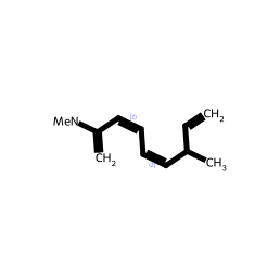 C=CC(C)/C=C\C=C/C(=C)NC